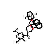 Cc1c(O)nc(N(C)C)nc1C(=O)N1CCC(CCN2[C@@H]3CC[C@H]2C[C@@H](n2c(C)nc4ccccc42)C3)(c2ccccc2)CC1